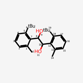 Cc1cccc(C(C)(C)C)c1C(O)C(O)c1c(C)cccc1C(C)(C)C